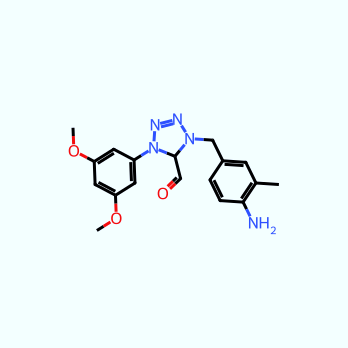 COc1cc(OC)cc(N2N=NN(Cc3ccc(N)c(C)c3)C2C=O)c1